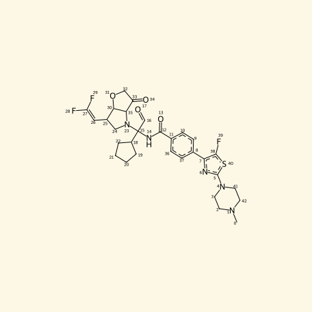 CN1CCN(c2nc(-c3ccc(C(=O)NC(C=O)(C4CCCC4)N4CC(C=C(F)F)C5OCC(=O)C54)cc3)c(F)s2)CC1